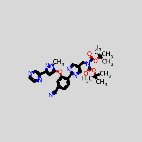 Cn1nc(-c2cnccn2)cc1Oc1cc(C#N)ccc1-c1ncc(CN(C(=O)OC(C)(C)C)C(=O)OC(C)(C)C)cn1